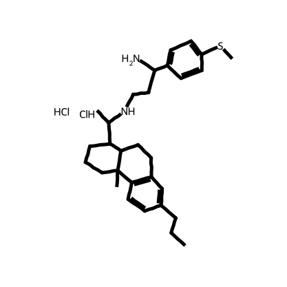 CCCc1ccc2c(c1)CCC1C(C(C)NCCC(N)c3ccc(SC)cc3)CCCC21C.Cl.Cl